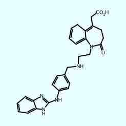 O=C(O)CC1=C2CC=CC=C2N(CCNCc2ccc(Nc3nc4ccccc4[nH]3)cc2)C(=O)CC1